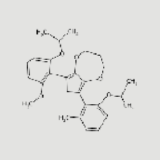 COc1cccc(OC(C)C)c1C1=C2OCCCOC2=C(c2c(C)cccc2OC(C)C)C1